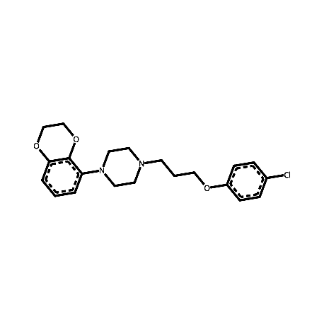 Clc1ccc(OCCCN2CCN(c3cccc4c3OCCO4)CC2)cc1